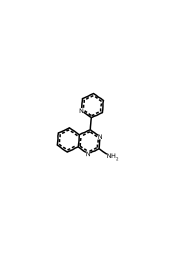 Nc1nc(-c2ccccn2)c2ccccc2n1